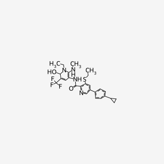 CCSc1cc(-c2ccc(C3CC3)cc2)cnc1C(=O)NC1=C(NC)N(CC)C(O)C(C(F)(F)F)=C1